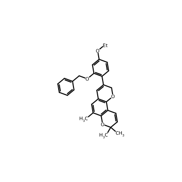 CCOc1ccc(C2=Cc3cc(C)c4c(c3OC2)C=CC(C)(C)O4)c(OCc2ccccc2)c1